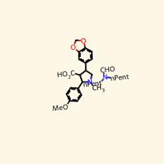 CCCCCN(C=O)CCCCC.COc1ccc(C2C(C(=O)O)C(c3ccc4c(c3)OCO4)CN2C)cc1